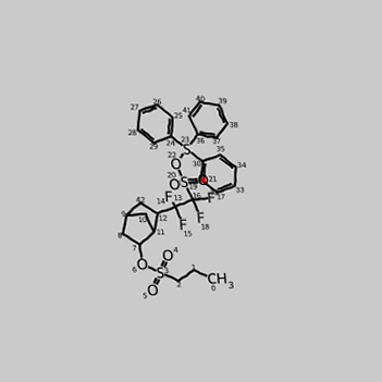 CCCS(=O)(=O)OC1CC2CC1C(C(F)(F)C(F)(F)S(=O)(=O)OS(c1ccccc1)(c1ccccc1)c1ccccc1)C2